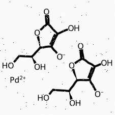 O=C1O[C@H]([C@@H](O)CO)C([O-])=C1O.O=C1O[C@H]([C@@H](O)CO)C([O-])=C1O.[Pd+2]